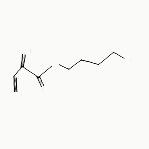 C=CC(=C)C(=O)OCCCCO